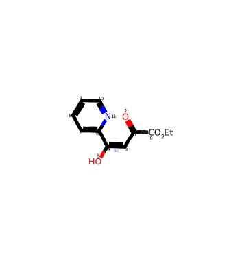 CCOC(=O)C(=O)/C=C(/O)c1ccccn1